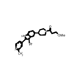 COCCC(=O)N1CCC(c2ccc3[nH]c(-c4ccnc(C)c4)c(C(C)C)c3c2)CC1